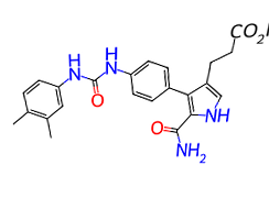 Cc1ccc(NC(=O)Nc2ccc(-c3c(CCC(=O)O)c[nH]c3C(N)=O)cc2)cc1C